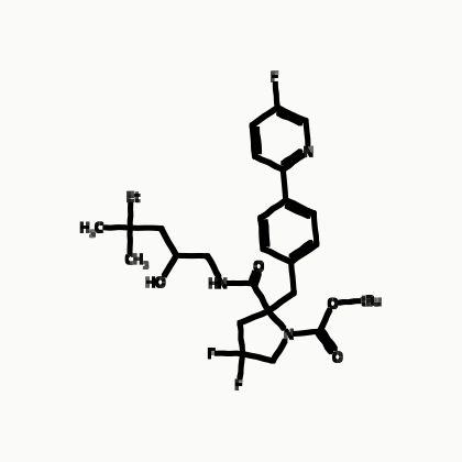 CCC(C)(C)CC(O)CNC(=O)C1(Cc2ccc(-c3ccc(F)cn3)cc2)CC(F)(F)CN1C(=O)OC(C)(C)C